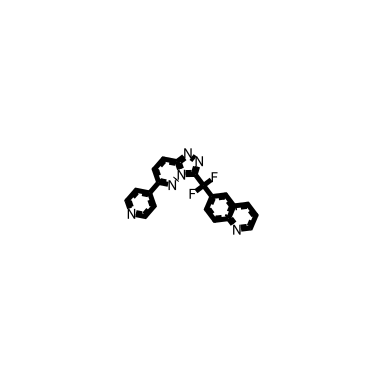 FC(F)(c1ccc2ncccc2c1)c1nnc2ccc(-c3ccncc3)nn12